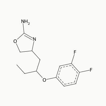 CCC(CC1COC(N)=N1)Oc1ccc(F)c(F)c1